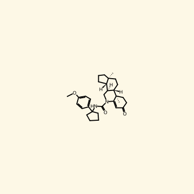 COc1ccc(C2(NC(=O)N3C[C@H]4[C@@H]5CCC[C@@]5(C)CC[C@@H]4[C@@]4(C)CCC(=O)C=C34)CCCC2)cc1